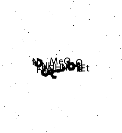 C=Cc1c(C#CCNc2ccc(C(=O)N(C)CC)cc2OC)nn2c(N[C@@H]3CCN(C)C[C@@H]3F)cccc12